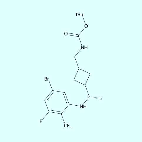 C[C@H](Nc1cc(Br)cc(F)c1C(F)(F)F)C1CC(CNC(=O)OC(C)(C)C)C1